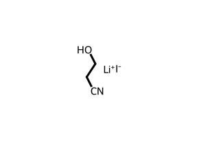 N#CCCO.[I-].[Li+]